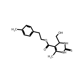 CC1=C(C(=O)OCCc2ccc(C)cc2)C(CO)NC(=S)N1